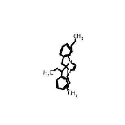 CCCCCN1C=CN(CCCC)C1(Cc1ccccc1)C(CC)c1ccccc1